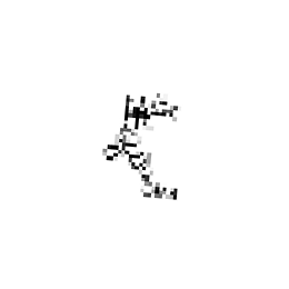 COCCOc1ccc(-n2c(=O)n(CC3CCC(NC(=O)c4cc(Cl)cnc4C(F)(F)F)CC3)c3ccccc32)cn1